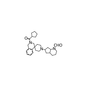 O=CN1CCCC2CC(N3CCC4(CC3)CN(C(=O)C3CCCC3)Cc3ccccc34)CC21